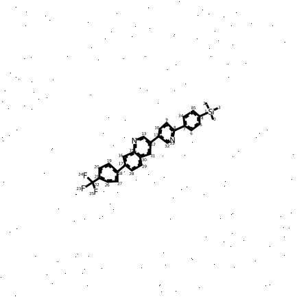 C[Si](C)(C)c1ccc(-c2ccc(-c3cnc4cc(-c5ccc(C(F)(F)F)cc5)ccc4c3)cn2)cc1